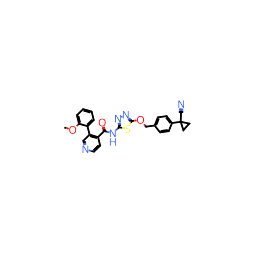 COc1ccccc1-c1cnccc1C(=O)Nc1nnc(OCc2ccc(C3(C#N)CC3)cc2)s1